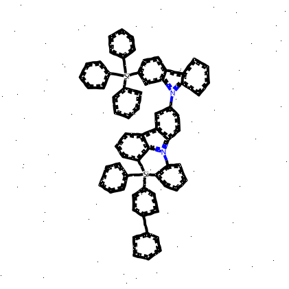 c1ccc(-c2ccc([Si]3(c4ccccc4)c4ccccc4-n4c5ccc(-n6c7ccccc7c7ccc([Si](c8ccccc8)(c8ccccc8)c8ccccc8)cc76)cc5c5cccc3c54)cc2)cc1